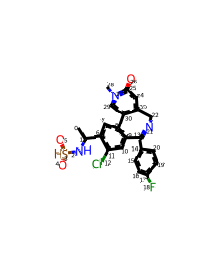 CC(N[SH](=O)=O)c1cc2c(cc1Cl)C(c1ccc(F)cc1)=NCc1cc(=O)n(C)cc1-2